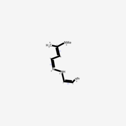 CCC/C=C\N/N=C\C=C(/C)NC